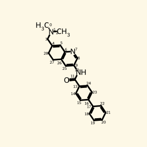 CN(C)CC1=Cc2ncc(NC(=O)c3ccc(-c4ccccc4)cc3)cc2CC1